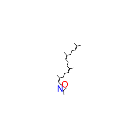 CC(C)=CCCC(C)=CCCC(C)=CCCC(C)=CC1=N[C@H](C)CO1